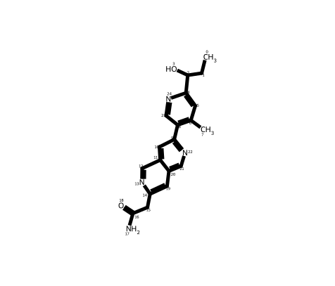 CCC(O)c1cc(C)c(-c2cc3cnc(CC(N)=O)cc3cn2)cn1